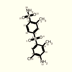 Cc1cc(S(=O)(=O)c2cc(Cl)c(N)cc2C)ccc1S(N)(=O)=O